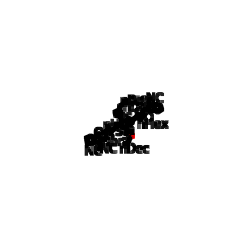 [C-]#[N+]/C(C#N)=C1\C(=Cc2cc(CCCCCC)c(-c3cc4c(-c5ccc(CC(CCCCCCCCCC)CCCCCCCCCC)s5)c5sc(-c6sc(C=C7C(=O)c8ccccc8/C7=C(/C#N)[N+]#[C-])cc6CCCCCC)cc5c(-c5ccc(CC(CCCCCCCCCC)CCCCCCCCCC)s5)c4s3)s2)C(=O)c2ccccc21